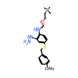 COc1ccc(CSc2ccc(NCOCC[Si](C)(C)C)c(NN)c2)cc1